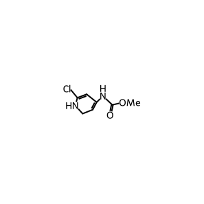 COC(=O)NC1=CCNC(Cl)=C1